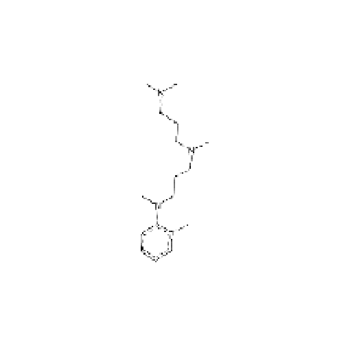 Cc1ccccc1N(C)CCCN(C)CCCN(C)C